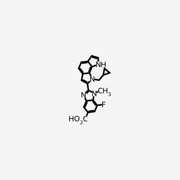 Cn1c(-c2cc3ccc4cc[nH]c4c3n2CC2CC2)nc2cc(C(=O)O)cc(F)c21